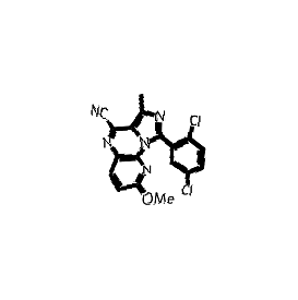 COc1ccc2nc(C#N)c3c(C)nc(-c4cc(Cl)ccc4Cl)n3c2n1